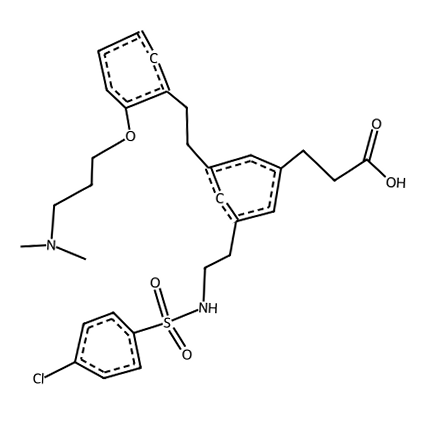 CN(C)CCCOc1ccccc1CCc1cc(CCNS(=O)(=O)c2ccc(Cl)cc2)cc(CCC(=O)O)c1